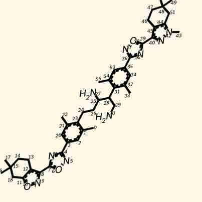 Cc1cc(-c2noc(-c3noc4c3CCC(C)(C)C4)n2)cc(C)c1CCC(N)C(CN)c1c(C)cc(-c2noc(-c3nn(C)c4c3CCC(C)(C)C4)n2)cc1C